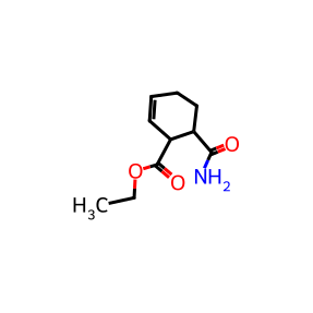 CCOC(=O)C1C=CCCC1C(N)=O